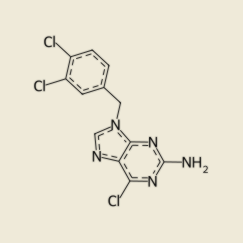 Nc1nc(Cl)c2ncn(Cc3ccc(Cl)c(Cl)c3)c2n1